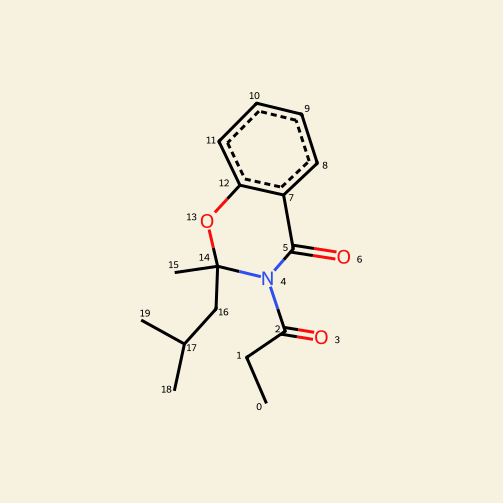 CCC(=O)N1C(=O)c2ccccc2OC1(C)CC(C)C